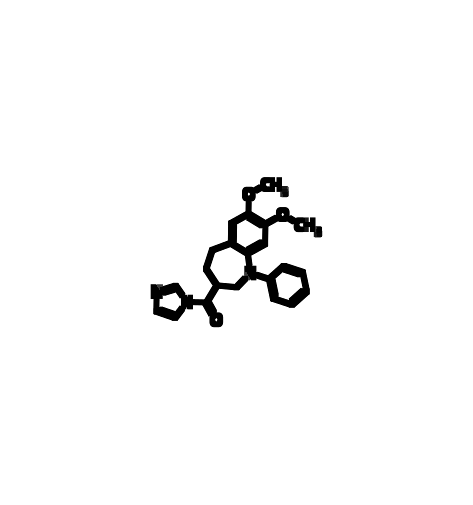 COc1cc2c(cc1OC)N(c1ccccc1)CC(C(=O)n1ccnc1)CC2